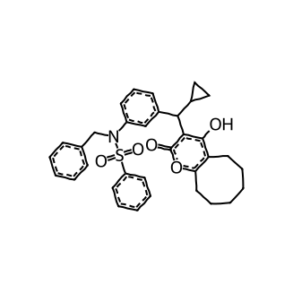 O=c1oc2c(c(O)c1C(c1cccc(N(Cc3ccccc3)S(=O)(=O)c3ccccc3)c1)C1CC1)CCCCCC2